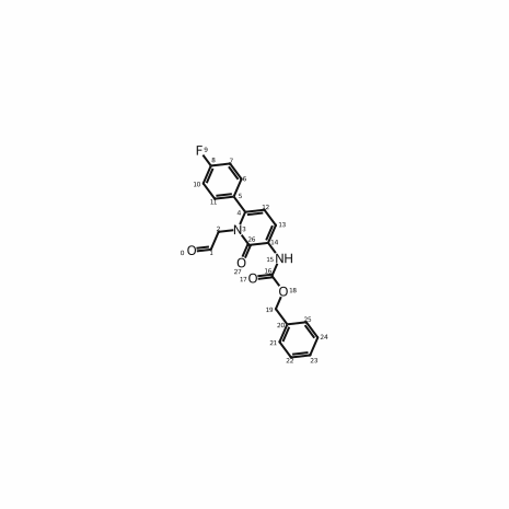 O=CCn1c(-c2ccc(F)cc2)ccc(NC(=O)OCc2ccccc2)c1=O